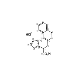 Cl.O=C(O)C(Cc1ccc2ccccc2c1)c1cnc[nH]1